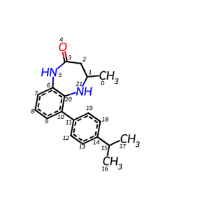 CC1CC(=O)Nc2cccc(-c3ccc(C(C)C)cc3)c2N1